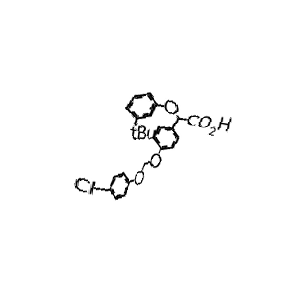 CC(C)(C)c1cccc(OC(C(=O)O)c2ccc(OCOc3ccc(Cl)cc3)cc2)c1